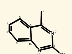 CCCCc1nc(C)c2ccccc2n1